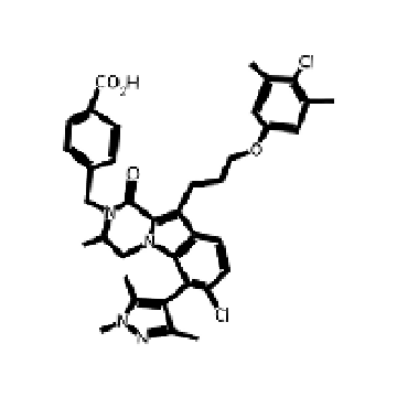 Cc1cc(OCCCc2c3n(c4c(-c5c(C)nn(C)c5C)c(Cl)ccc24)CC(C)N(Cc2ccc(C(=O)O)cc2)C3=O)cc(C)c1Cl